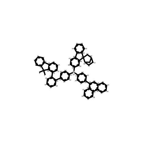 CC1(C)c2ccccc2-c2cccc(-c3ccccc3-c3ccc(N(c4ccc(-c5cc6ccccc6c6ccccc56)cc4)c4ccc5c(c4)C4(CC6CCC4C6)c4ccccc4-5)cc3)c21